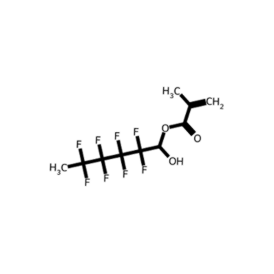 C=C(C)C(=O)OC(O)C(F)(F)C(F)(F)C(F)(F)C(C)(F)F